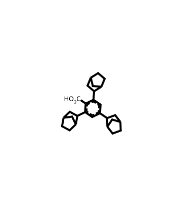 O=C(O)c1c(C2CC3CCC2C3)cc(C2CC3CCC2C3)cc1C1CC2CCC1C2